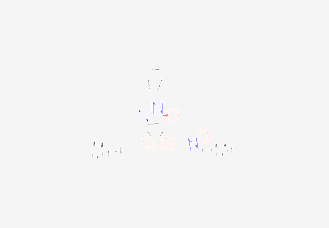 COCCOc1cc2ncn(Cc3ccccc3)c(=O)c2cc1OC1CCN(C(=O)OC)CC1